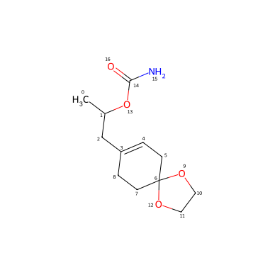 CC(CC1=CCC2(CC1)OCCO2)OC(N)=O